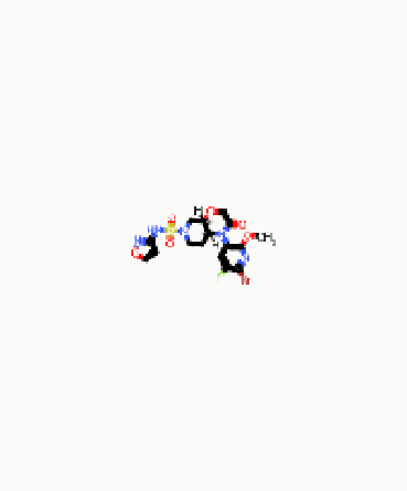 COc1nc(Br)c(F)cc1N1C(=O)CO[C@H]2CN(S(=O)(=O)Nc3ccon3)CC[C@@H]21